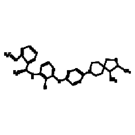 C=Cc1ccccc1C(=C)Nc1cccc(Sc2cnc(N3CCC4(CC3)COC(C)C4N)cn2)c1Cl